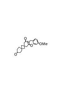 COc1ccc(CN2C(=O)CC3(CC2=O)CC2(CCC(=O)CC2)C3)cc1